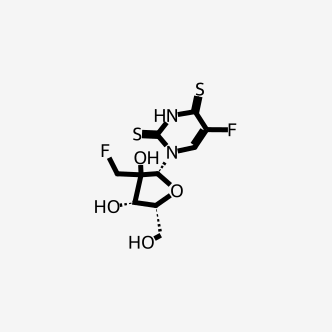 OC[C@H]1O[C@@H](n2cc(F)c(=S)[nH]c2=S)C(O)(CF)[C@H]1O